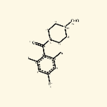 Cc1cc(Br)cc(C)c1C(=O)N1CCN(C=O)CC1